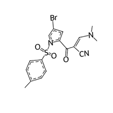 Cc1ccc(S(=O)(=O)n2cc(Br)cc2C(=O)C(C#N)=CN(C)C)cc1